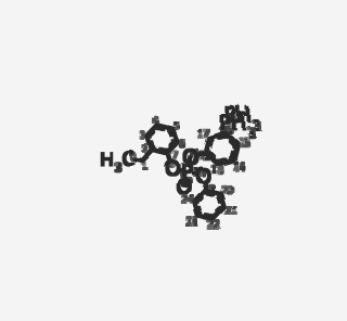 CCc1ccccc1OP(=O)(Oc1ccccc1)Oc1ccccc1.P.P